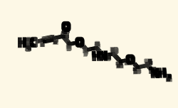 CC#CC(=O)COCCNCCOCCN